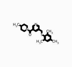 Cc1cc(C)c(SCc2cncc(C(=O)N3CCC(C)CC3)c2)c(C)c1